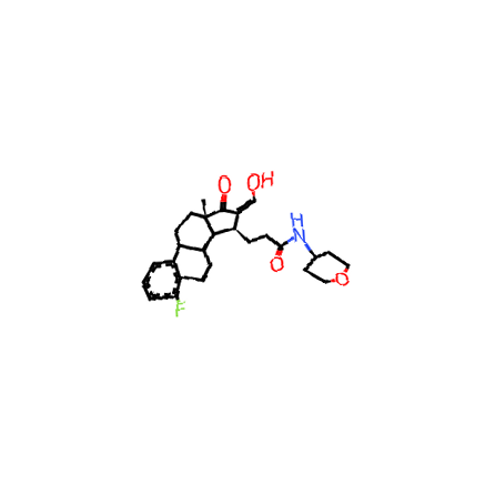 C[C@]12CCC3c4cccc(F)c4CCC3C1[C@H](CCC(=O)NC1CCOCC1)/C(=C/O)C2=O